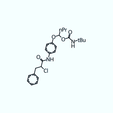 CCCC(OC(=O)NC(C)(C)C)Oc1ccc(NC(=O)C(Cl)Cc2ccccc2)cc1